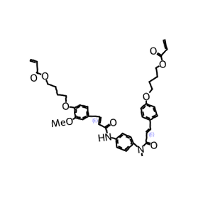 C=CC(=O)OCCCCOc1ccc(/C=C/C(=O)N(C)c2ccc(NC(=O)/C=C/c3ccc(OCCCCOC(=O)C=C)c(OC)c3)cc2)cc1